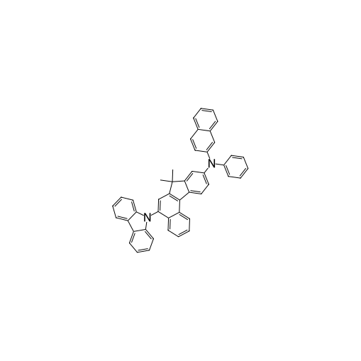 CC1(C)c2cc(N(c3ccccc3)c3ccc4ccccc4c3)ccc2-c2c1cc(-n1c3ccccc3c3ccccc31)c1ccccc21